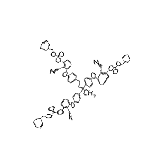 CC(CCc1ccc(Oc2cccc(OC(=O)OCc3ccccc3)c2C#N)cc1)(c1ccc(Oc2cccc(OC(=O)OCc3ccccc3)c2C#N)cc1)c1ccc(Oc2cccc(OC(=O)OCc3ccccc3)c2C#N)cc1